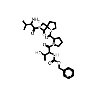 CC(C)C(N)C(=O)N1CC2(CCCN2C(=O)C2CCCN2C(=O)C(NC(=O)OCc2ccccc2)C(C)O)C1=O